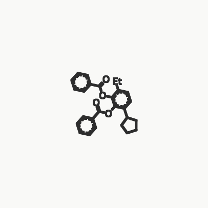 CCc1ccc(C2CCCC2)c(OC(=O)c2ccccc2)c1OC(=O)c1ccccc1